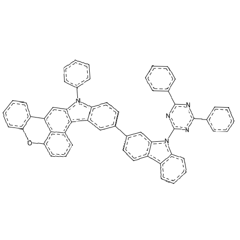 c1ccc(-c2nc(-c3ccccc3)nc(-n3c4ccccc4c4ccc(-c5ccc6c(c5)c5c7cccc8c7c(cc5n6-c5ccccc5)-c5ccccc5O8)cc43)n2)cc1